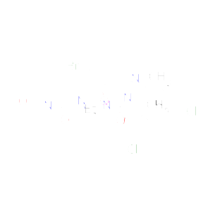 CCOc1cc(Br)ccc1C1=N[C@@](C)(c2ccc(Cl)cc2)[C@@](C)(c2ccc(Cl)cc2)N1C(=O)N1CCN(CC(=O)N2CCOCC2)CC1